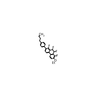 C=CCCc1ccc(-c2ccc3c(c2F)C(F)C(F)c2c-3ccc(OCC)c2F)cc1